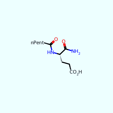 CCCCCC(=O)N[C@@H](CCC(=O)O)C(N)=O